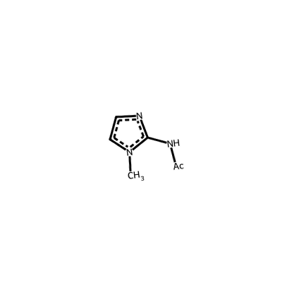 CC(=O)Nc1nccn1C